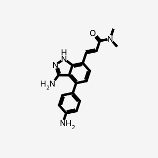 CN(C)C(=O)C=Cc1ccc(-c2ccc(N)cc2)c2c(N)n[nH]c12